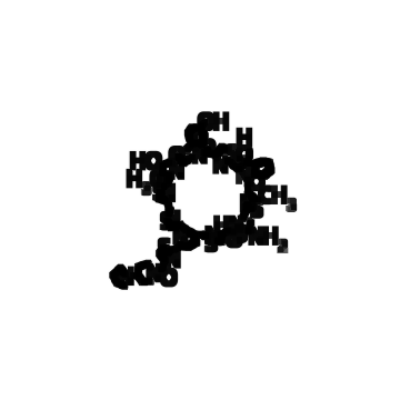 Cc1sc2nc1C(=O)N[C@@H]([C@H](O)c1ccccc1)c1nc(cs1)C(=O)N[C@@H](Cc1ccc(O)cc1)C(=O)N1C[C@H](O)[C@H](C)[C@H]1c1nc(cs1)-c1nc(cs1)-c1nc(-c3nc(C(=O)N4CCC(N5CCCC5)CC4)cs3)ccc1-c1nc(cs1)C(=O)N[C@H]2CC(N)=O